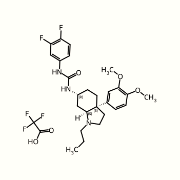 CCCN1CC[C@]2(c3ccc(OC)c(OC)c3)CC[C@@H](NC(=O)Nc3ccc(F)c(F)c3)C[C@H]12.O=C(O)C(F)(F)F